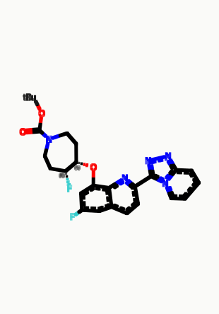 CC(C)(C)OC(=O)N1CC[C@@H](F)[C@@H](Oc2cc(F)cc3ccc(-c4nnc5ccccn45)nc23)CC1